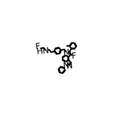 Cc1ccccc1-c1c(F)c2c3cnn(-c4ccccc4)c3ccc2n1Cc1ccc(CCNCCF)cc1